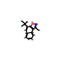 Cc1noc2c(C(C)(C)C)cc3ccccc3c12